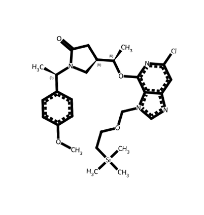 COc1ccc([C@@H](C)N2C[C@H]([C@@H](C)Oc3nc(Cl)cc4ncn(COCC[Si](C)(C)C)c34)CC2=O)cc1